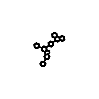 c1ccc(-c2ccc3sc4c(-c5ccc(-c6cc7ccccc7c7ccccc67)cc5)cc(-c5ccccc5)cc4c3c2)cc1